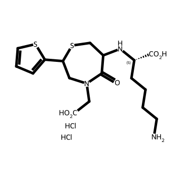 Cl.Cl.NCCCC[C@H](NC1CSC(c2cccs2)CN(CC(=O)O)C1=O)C(=O)O